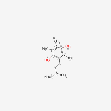 CCCCCCC(C)CCc1c(O)c(C)c(C)c(O)c1C(C)(C)C